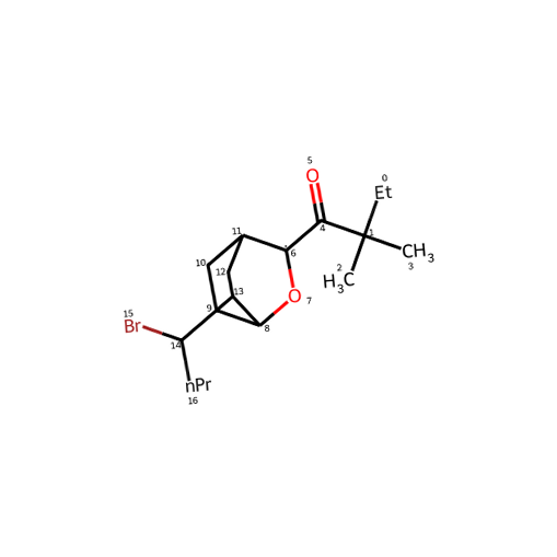 [CH2]CC(C)(C)C(=O)[C]1OC2CCC1CC2C(Br)CCC